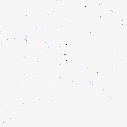 Cc1cc(C#N)cnc1C(=O)Nc1cc(Cl)c(F)c([C@H]2C[C@H]2NO/C(N)=N\CF)c1